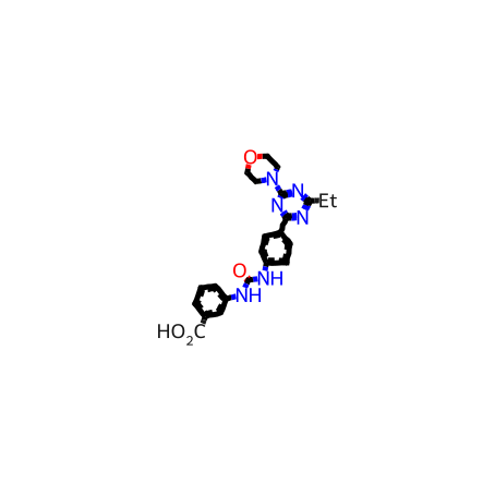 CCc1nc(-c2ccc(NC(=O)Nc3cccc(C(=O)O)c3)cc2)nc(N2CCOCC2)n1